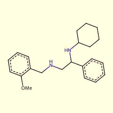 COc1ccccc1CNCC(NC1CCCCC1)c1ccccc1